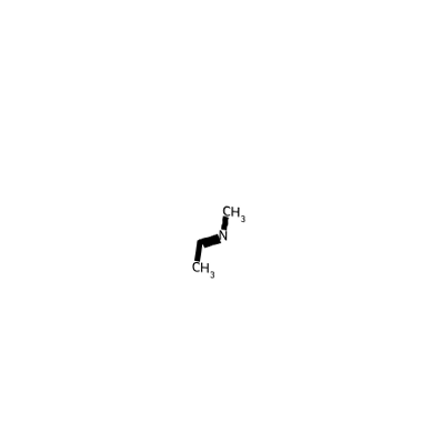 CC=NC